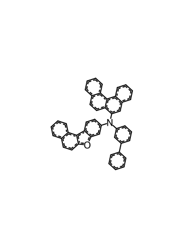 c1ccc(-c2cccc(N(c3ccc4c(c3)oc3ccc5ccccc5c34)c3cc4ccccc4c4c3ccc3ccccc34)c2)cc1